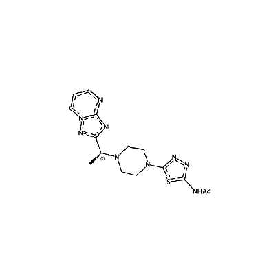 CC(=O)Nc1nnc(N2CCN([C@@H](C)c3nc4ncccn4n3)CC2)s1